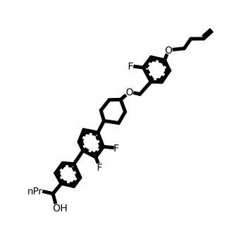 C=CCCOc1ccc(COC2CCC(c3ccc(-c4ccc(C(O)CCC)cc4)c(F)c3F)CC2)c(F)c1